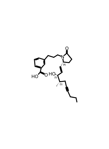 CCCC#CC[C@H](C)[C@H](O)C=C[C@H]1CCC(=O)N1CCCc1cccc(C(=O)O)c1